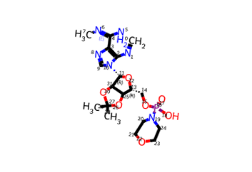 C=Nc1c(/C(N)=N\C)ncn1[C@@H]1O[C@H](COP(=O)(O)N2CCOCC2)C2OC(C)(C)OC21